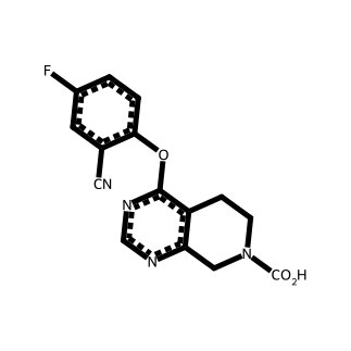 N#Cc1cc(F)ccc1Oc1ncnc2c1CCN(C(=O)O)C2